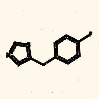 Fc1ccc(Cc2[c]ncs2)cc1